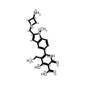 CCc1c(-c2ccc3c(c2)cc(CN2CC(N)C2)n3C)[nH]c(=O)c(C(=O)O)c1O